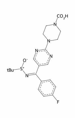 CC(C)(C)[S+]([O-])N=C(c1ccc(F)cc1)c1cnc(N2CCN(C(=O)O)CC2)nc1